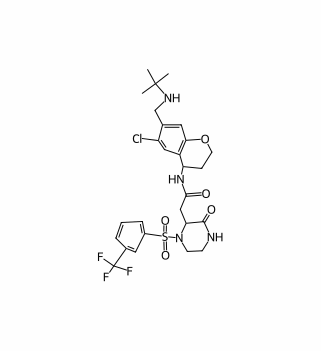 CC(C)(C)NCc1cc2c(cc1Cl)C(NC(=O)CC1C(=O)NCCN1S(=O)(=O)c1cccc(C(F)(F)F)c1)CCO2